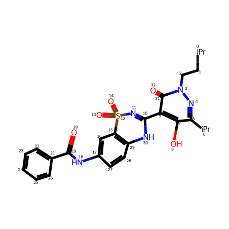 CC(C)CCn1nc(C(C)C)c(O)c(C2=NS(=O)(=O)c3cc(NC(=O)c4ccccc4)ccc3N2)c1=O